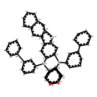 c1ccc(-c2cccc(N(c3ccccc3)c3cc4sc5cc6ccccc6cc5c4cc3N(c3ccccc3)c3cccc(-c4ccccc4)c3)c2)cc1